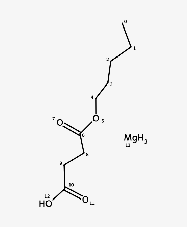 CCCCCOC(=O)CCC(=O)O.[MgH2]